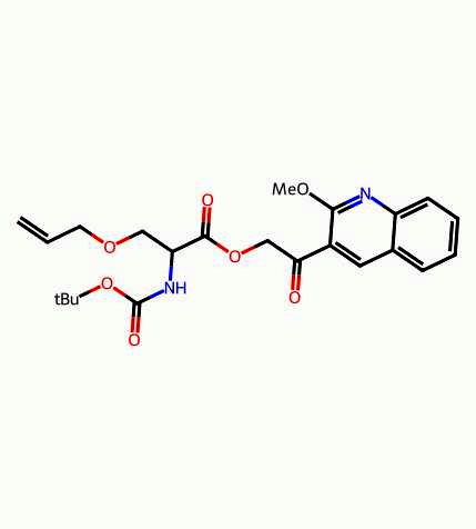 C=CCOCC(NC(=O)OC(C)(C)C)C(=O)OCC(=O)c1cc2ccccc2nc1OC